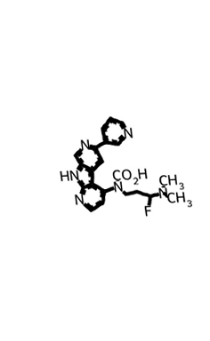 CN(C)C(F)CCN(C(=O)O)c1ccnc2[nH]c3cnc(-c4cccnc4)cc3c12